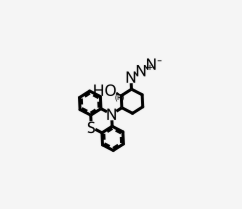 [N-]=[N+]=NC1CCCC(N2c3ccccc3Sc3ccccc32)[C@H]1O